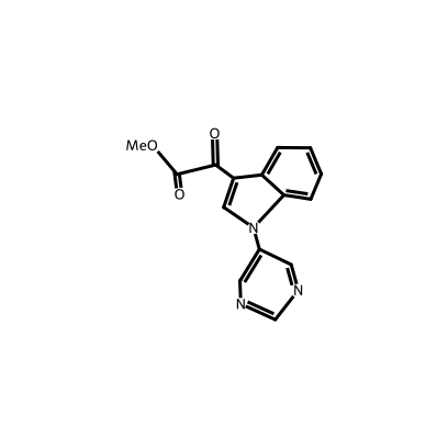 COC(=O)C(=O)c1cn(-c2cncnc2)c2ccccc12